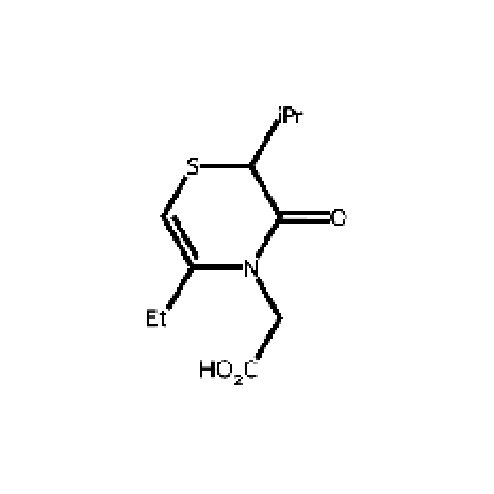 CCC1=CSC(C(C)C)C(=O)N1CC(=O)O